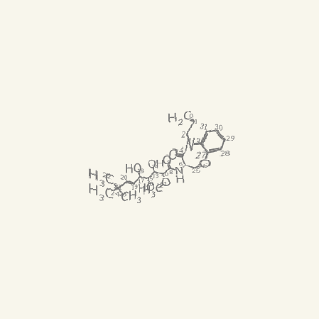 C=CCN1C(=O)[C@@H](NC(=O)[C@H](OC)[C@H](O)[C@@H](O)[C@H](O)C=CC(C)(C)C)COc2ccccc21